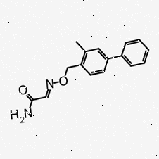 Cc1cc(-c2ccccc2)ccc1CON=CC(N)=O